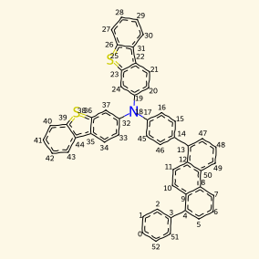 c1ccc(-c2cccc3c2ccc2c(-c4ccc(N(c5ccc6c(c5)sc5ccccc56)c5ccc6c(c5)sc5ccccc56)cc4)cccc23)cc1